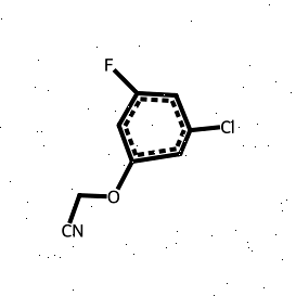 N#CCOc1cc(F)cc(Cl)c1